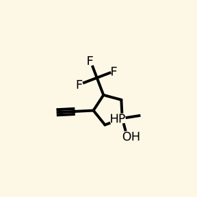 C#CC1C[PH](C)(O)CC1C(F)(F)F